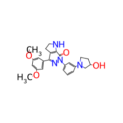 COc1cc(OC)cc(-c2nn(-c3cccc(N4CCC(O)C4)c3)c(=O)c3c2CCN3)c1